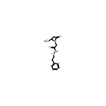 CSC1CC(=O)N1CC(=O)NOCCc1ccccc1